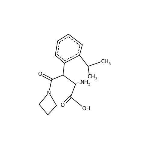 CC(C)c1ccccc1C(C(=O)N1CCC1)[C@H](N)C(=O)O